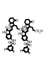 O=C(O)CCc1c(/C=C2\C(=O)Nc3ccc(NS(=O)(=O)c4cc(F)cc(F)c4)cc32)[nH]c2c1C(=O)CCC2.O=C(O)CCc1c(/C=C2\C(=O)Nc3ccc(NS(=O)(=O)c4cc(F)cc(F)c4)cc32)[nH]c2c1C(=O)CCC2